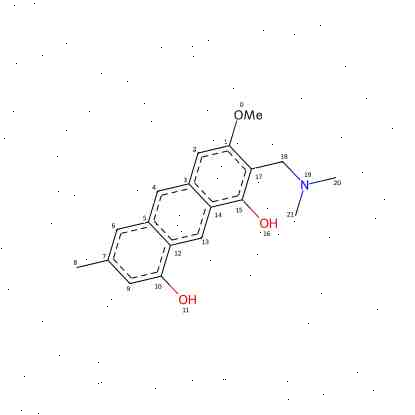 COc1cc2cc3cc(C)cc(O)c3cc2c(O)c1CN(C)C